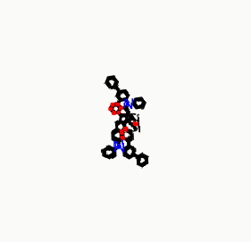 C[Si](C)(C)C1([Si](C)(C)C)c2cc3cc(N(c4ccccc4)c4ccc(-c5ccccc5)cc4-c4ccccc4)ccc3cc2-c2c1cc(N(c1ccccc1)c1ccc(-c3ccccc3)cc1-c1ccccc1)c1ccccc21